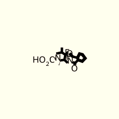 CC1CN(C(=O)O)[C@@H](C)C(CN2C(=O)c3ccccc3C2=O)C1(F)F